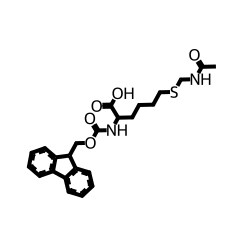 CC(=O)NCSCCCCC(NC(=O)OCC1c2ccccc2-c2ccccc21)C(=O)O